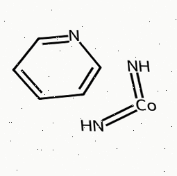 [NH]=[Co]=[NH].c1ccncc1